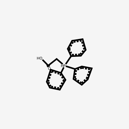 O=C(O)[CH][PH](c1ccccc1)(c1ccccc1)c1ccccc1